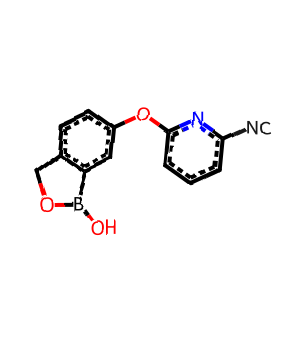 [C-]#[N+]c1cccc(Oc2ccc3c(c2)B(O)OC3)n1